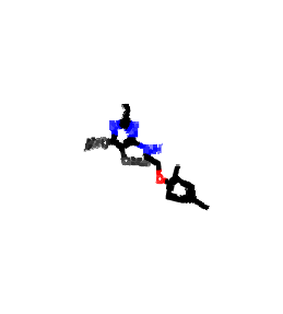 COc1nc(C)nc(NCCOc2ccc(C)cc2C)c1OC